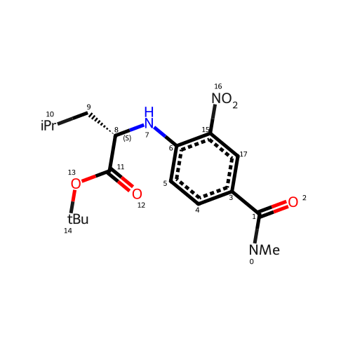 CNC(=O)c1ccc(N[C@@H](CC(C)C)C(=O)OC(C)(C)C)c([N+](=O)[O-])c1